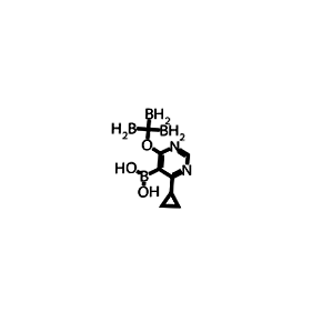 BC(B)(B)Oc1ncnc(C2CC2)c1B(O)O